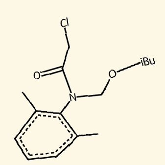 CCC(C)OCN(C(=O)CCl)c1c(C)cccc1C